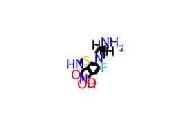 N[C@@H]1[C@H]2CN(c3c(F)cc4c5c3SCNC5C(=O)N(O)C4=O)C[C@@H]12